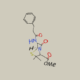 COC(=O)C1N2C(=O)C(NC(=O)CCc3ccccc3)[C@@H]2SC1(C)C